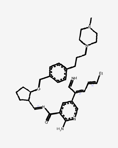 CC/C=C/C=C(\C=N)c1cnc(N)c(C(=O)/N=C/C2CCCC2OCc2ccc(CCCN3CCN(C)CC3)cc2)c1